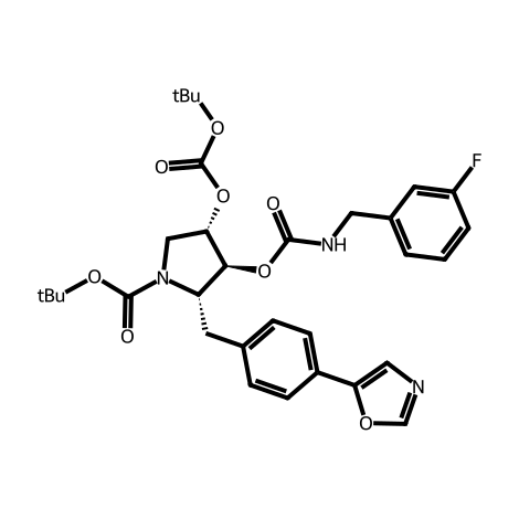 CC(C)(C)OC(=O)O[C@H]1CN(C(=O)OC(C)(C)C)[C@@H](Cc2ccc(-c3cnco3)cc2)[C@@H]1OC(=O)NCc1cccc(F)c1